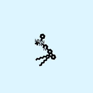 CCCCCCCCC1(CCCCCCCC)c2ccccc2-c2ccc(-c3ccc(C4=NC(c5ccccc5)NC(C(C)(C)C)=N4)cn3)cc21